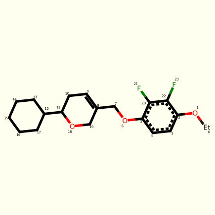 CCOc1ccc(OCC2=CCC(C3CCCCC3)OC2)c(F)c1F